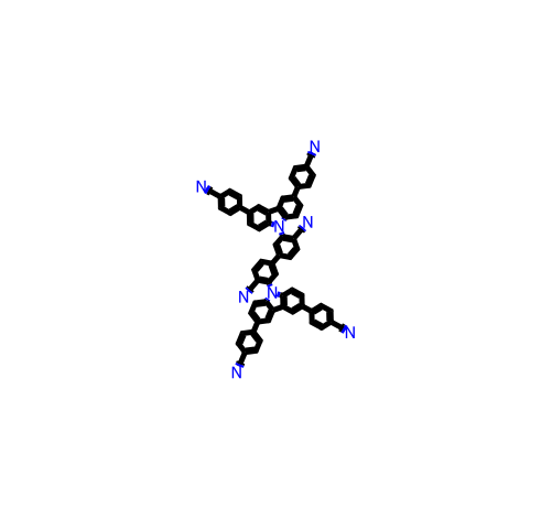 N#Cc1ccc(-c2ccc3c(c2)c2cc(-c4ccc(C#N)cc4)ccc2n3-c2cc(-c3ccc(C#N)c(-n4c5ccc(-c6ccc(C#N)cc6)cc5c5cc(-c6ccc(C#N)cc6)ccc54)c3)ccc2C#N)cc1